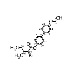 CCOc1ccc(-c2ccc(OC(=O)C(Br)C(C)CC)cc2)cc1